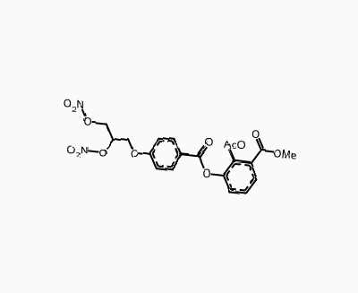 COC(=O)c1cccc(OC(=O)c2ccc(OCC(CO[N+](=O)[O-])O[N+](=O)[O-])cc2)c1OC(C)=O